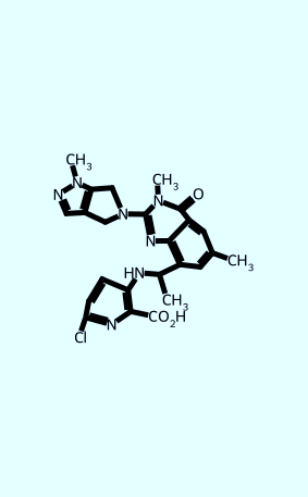 Cc1cc(C(C)Nc2ccc(Cl)nc2C(=O)O)c2nc(N3Cc4cnn(C)c4C3)n(C)c(=O)c2c1